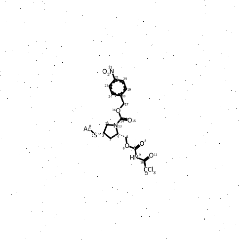 CC(=O)S[C@H]1C[C@@H](COC(=O)NC(=O)C(Cl)(Cl)Cl)N(C(=O)OCc2ccc([N+](=O)[O-])cc2)C1